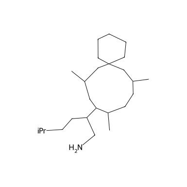 CC(C)CCC(CN)C1CC(C)CC2(CCCCC2)CC(C)CCC1C